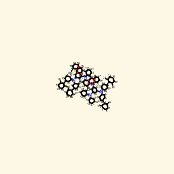 Cc1cccc(C)c1-c1ccc(N(c2ccc(-c3c(C)cccc3C)cc2)c2cc3c4c(c2)N(c2ccccc2)c2cc5c(cc2B4c2ccccc2N3c2ccccc2)B2c3ccc(-c4c(C)cccc4C)cc3N(c3cccc(-c4c(C)cccc4C)c3)c3cc(-c4c(C)cccc4C)cc(c32)N5c2c(-c3ccccc3)cccc2-c2ccccc2)cc1